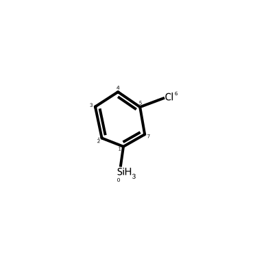 [SiH3]c1[c]ccc(Cl)c1